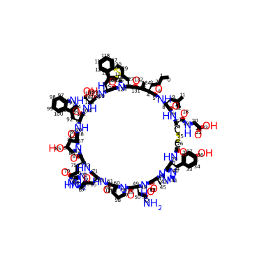 CCCC[C@H]1C(=O)N[C@@H](CC(C)C)C(=O)N[C@H](C(=O)NCC(=O)O)CSCC(=O)N[C@@H](Cc2ccc(O)cc2)c2nnnn2[C@@H](C)C(=O)N[C@@H](CC(N)=O)C(=O)N2CCC[C@H]2C(=O)N[C@@H](Cc2c[nH]cn2)C(=O)N[C@@H](CCC(N)=O)C(=O)N2C[C@H](O)C[C@H]2C(=O)N[C@@H](Cc2c[nH]c3ccccc23)C(=O)N[C@@H](CO)C(=O)N[C@@H](Cc2csc3ccccc23)C(=O)N(C)[C@@H](CCCC)C(=O)C1C